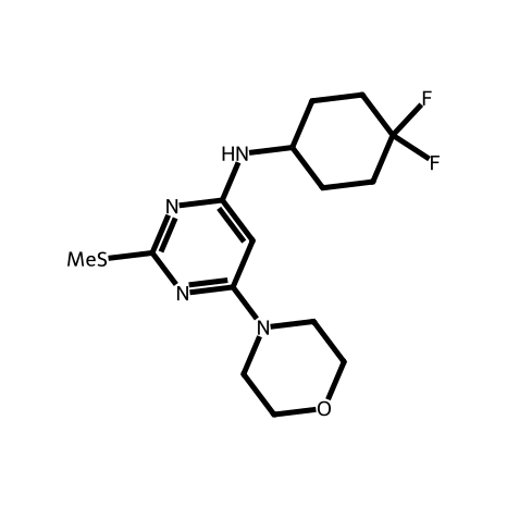 CSc1nc(NC2CCC(F)(F)CC2)cc(N2CCOCC2)n1